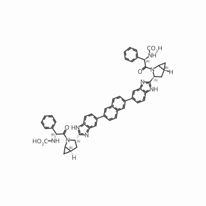 O=C(O)N[C@@H](C(=O)N1C2C[C@@H]2C[C@H]1c1nc2cc(-c3ccc4cc(-c5ccc6[nH]c([C@@H]7C[C@H]8CC8N7C(=O)[C@H](NC(=O)O)c7ccccc7)nc6c5)ccc4c3)ccc2[nH]1)c1ccccc1